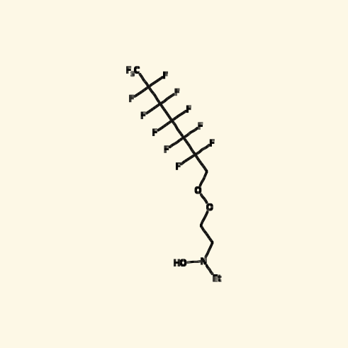 CCN(O)CCOOCC(F)(F)C(F)(F)C(F)(F)C(F)(F)C(F)(F)C(F)(F)F